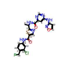 CC(NC(=O)c1cc(Nc2ccon2)ncn1)c1ncc(C(=O)Nc2ccc(CF)c(Cl)c2)s1